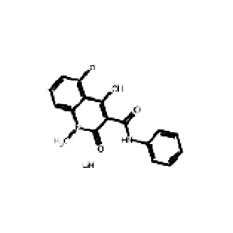 Cn1c(=O)c(C(=O)Nc2ccccc2)c(O)c2c(Cl)cccc21.[LiH]